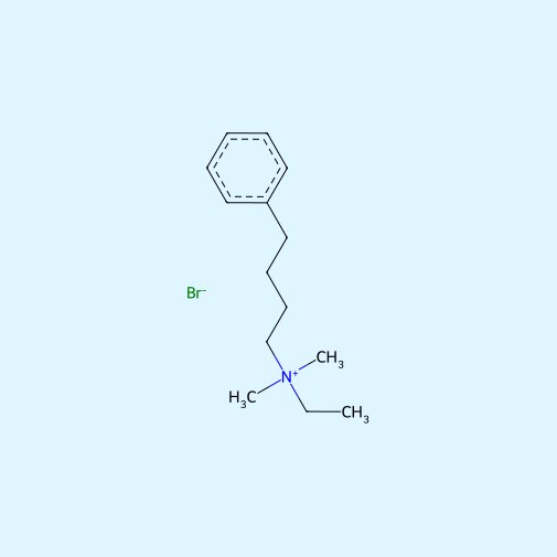 CC[N+](C)(C)CCCCc1ccccc1.[Br-]